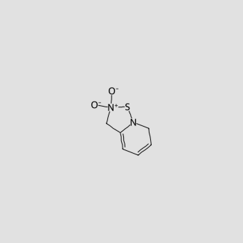 [O-][N+]1([O-])CC2=CC=CCN2S1